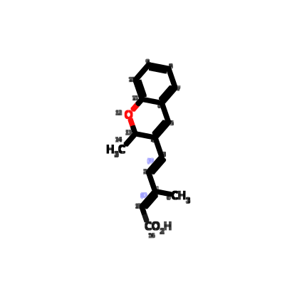 CC(/C=C/C1=Cc2ccccc2OC1C)=C\C(=O)O